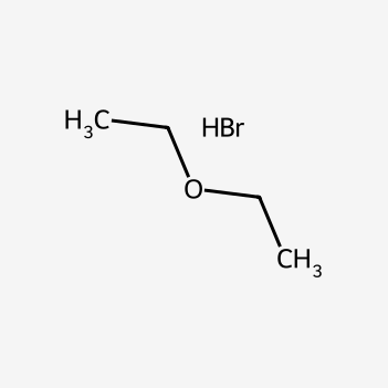 Br.CCOCC